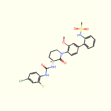 COc1cc(-c2ccccc2NS(C)(=O)=O)ccc1N1CCC[C@@H](NC(=O)Nc2ccc(Cl)cc2F)C1=O